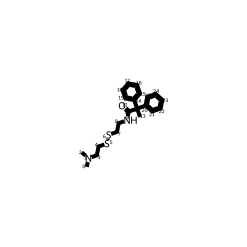 CN(C)CCSSCCNC(=O)C(C)(c1ccccc1)c1ccccc1